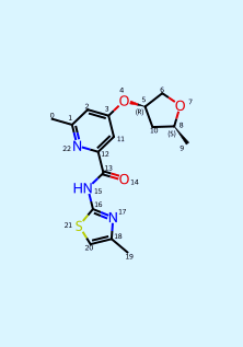 Cc1cc(O[C@H]2CO[C@@H](C)C2)cc(C(=O)Nc2nc(C)cs2)n1